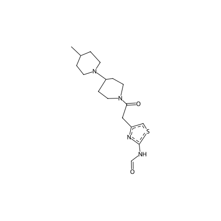 CC1CCN(C2CCN(C(=O)Cc3csc(NC=O)n3)CC2)CC1